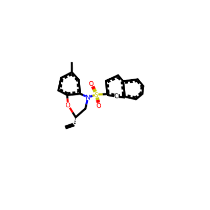 C=C[C@H]1CN(S(=O)(=O)c2ccc3ccccc3c2)c2cc(C)ccc2O1